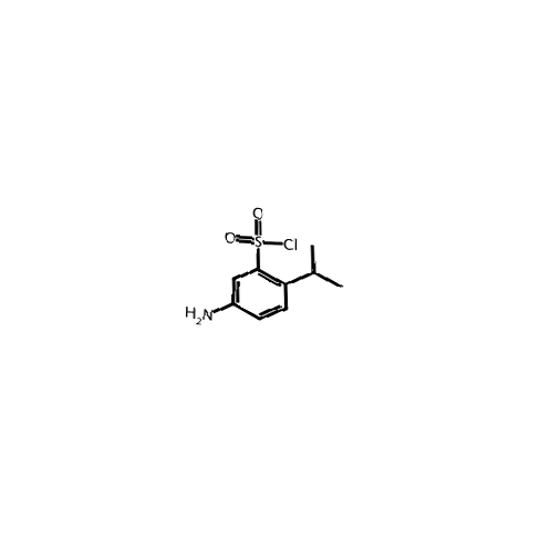 CC(C)c1ccc(N)cc1S(=O)(=O)Cl